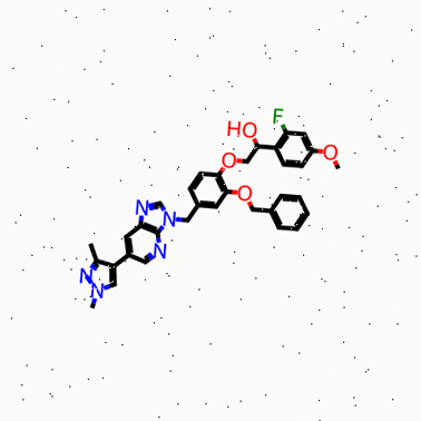 COc1ccc(C(O)COc2ccc(Cn3cnc4cc(-c5cn(C)nc5C)cnc43)cc2OCc2ccccc2)c(F)c1